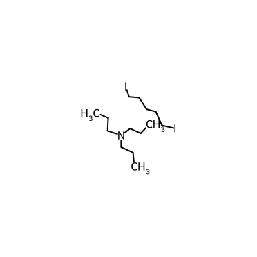 CCCN(CCC)CCC.ICCCCCI